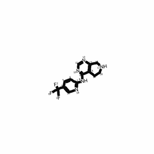 FC(F)(F)c1ccc(Nc2ncnc3c2CCNC3)nc1